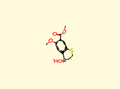 COC(=O)c1cc2c(cc1OC)[C@H](O)CCS2